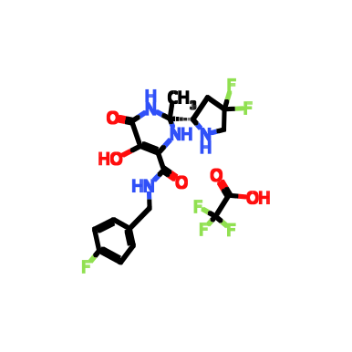 CC1([C@@H]2CC(F)(F)CN2)NC(=O)C(O)=C(C(=O)NCc2ccc(F)cc2)N1.O=C(O)C(F)(F)F